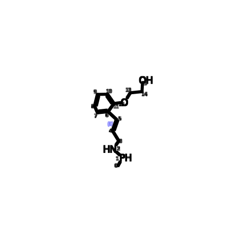 CPNC/C=C/c1ccccc1OCCO